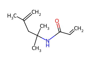 C=CC(=O)NC(C)(C)CC(=C)C